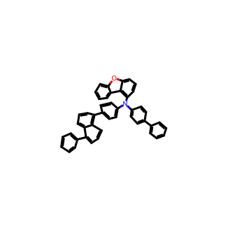 c1ccc(-c2ccc(N(c3ccc(-c4cccc5c(-c6ccccc6)cccc45)cc3)c3cccc4oc5ccccc5c34)cc2)cc1